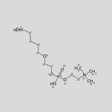 CCCCCCCCCCCCCCOCCOP(=O)(O)OCC[N+](C)(C)C